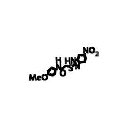 COc1ccc(NC(=O)CSc2nc3ccc([N+](=O)[O-])cc3[nH]2)cc1